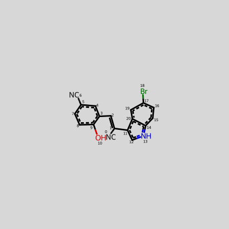 N#CC(=Cc1cc(C#N)ccc1O)c1c[nH]c2ccc(Br)cc12